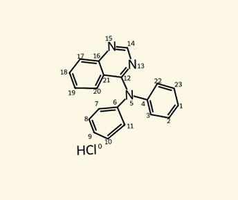 Cl.c1ccc(N(c2ccccc2)c2ncnc3ccccc23)cc1